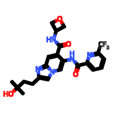 CC(C)(O)CCc1cn2cc(NC(=O)c3cccc(C(F)(F)F)n3)c(C(=O)NC3COC3)cc2n1